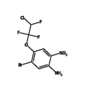 Nc1cc(Br)c(OC(F)(F)C(F)Cl)cc1[N+](=O)[O-]